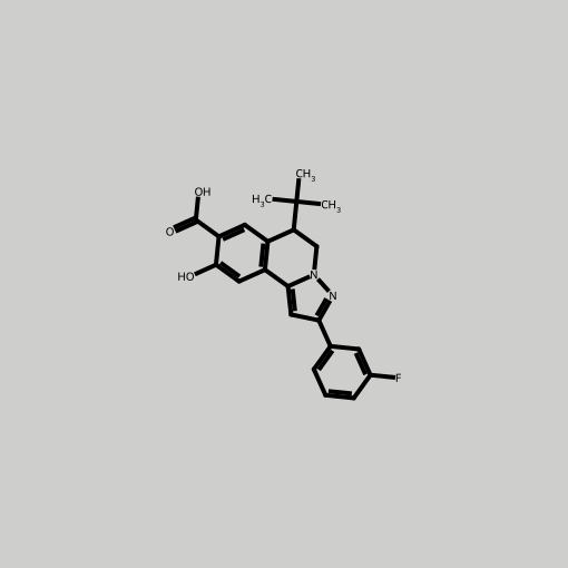 CC(C)(C)C1Cn2nc(-c3cccc(F)c3)cc2-c2cc(O)c(C(=O)O)cc21